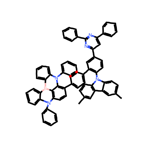 Cc1ccc2c(c1)c1cc(C)ccc1n2-c1ccc(-c2cc(-c3ccccc3)nc(-c3ccccc3)n2)cc1-c1ccc(-c2ccc3c4c2N(c2ccccc2)c2ccccc2B4c2ccccc2N3c2ccccc2)cc1